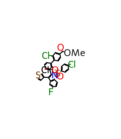 COC(=O)c1ccc(-c2cccc(-c3c(-c4ccsc4C)c4cc(F)ccc4n3S(=O)(=O)c3ccc(Cl)cc3)c2)c(Cl)c1